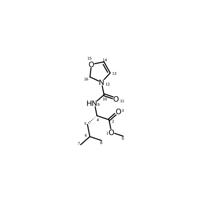 COC(=O)[C@H](CC(C)C)NC(=O)N1C=COC1